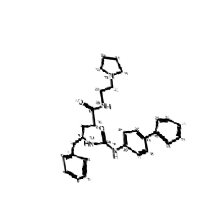 O=C(CCC(Cc1ccccc1)NC(=O)Nc1ccc(-c2ccccc2)cc1)NCCN1CCCC1